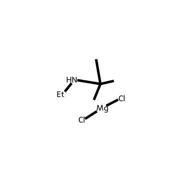 CCNC(C)(C)C.[Cl][Mg][Cl]